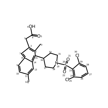 Cc1c(CC(=O)O)cc2ccc(F)cc2c1C1CCN(S(=O)(=O)c2c(Cl)cccc2Cl)CC1